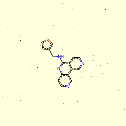 c1cc2nc(NCc3ccsc3)c3ccncc3c2cn1